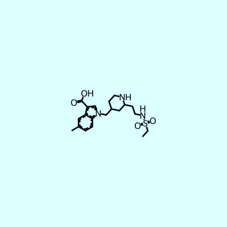 CCS(=O)(=O)NCCC1CC(Cn2cc(C(=O)O)c3cc(C)ccc32)CCN1